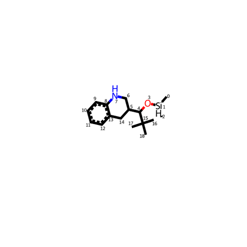 C[SiH](C)OC(C1CNc2ccccc2C1)C(C)(C)C